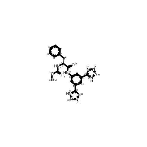 CC(C)(C)OC(=O)N[C@@H](Cc1ccccc1)C(=O)Nc1cc(-c2nnn[nH]2)cc(-c2nnn[nH]2)c1